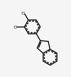 Clc1ccc(C2=Cc3ccccc3C2)cc1Cl